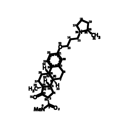 CNC(=O)[C@H]1C[C@H]2[C@@H]3CCc4cc(OCCCN5CCC[C@H]5C)ccc4[C@H]3CC[C@]2(C)C1=O